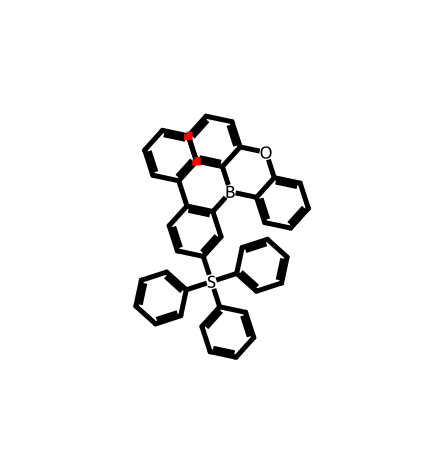 c1ccc(-c2ccc(S(c3ccccc3)(c3ccccc3)c3ccccc3)cc2B2c3ccccc3Oc3ccccc32)cc1